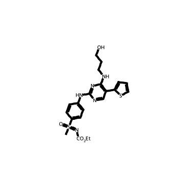 CCOC(=O)N=S(C)(=O)c1ccc(Nc2ncc(-c3cccs3)c(NCCCO)n2)cc1